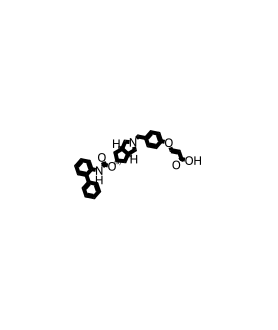 O=C(O)C=COc1ccc(CN2C[C@H]3C[C@H](OC(=O)Nc4ccccc4-c4ccccc4)C[C@H]3C2)cc1